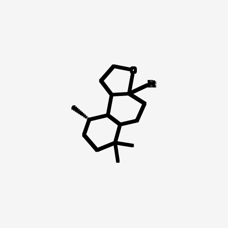 CCC12CCC3C(C1CCO2)[C@@H](C)CCC3(C)C